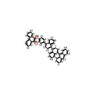 c1ccc2c(-c3ccc(-c4ccc(-c5ccc6c(c5)Oc5c(c7ccccc7c7ccccc57)O6)c5ccccc45)c4ccccc34)c3ccccc3cc2c1